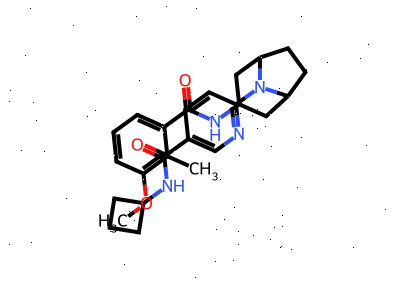 COc1cccc(C(=O)NC2CC3CCC(C2)N3c2ccc(C(=O)NC3CCC3)cn2)c1C